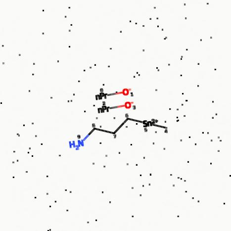 CCC[O-].CCC[O-].[CH3][Sn+2][CH2]CCN